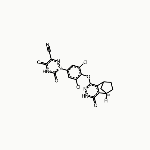 N#Cc1nn(-c2cc(Cl)c(Oc3n[nH]c(=O)c4c3C3CC[C@H]4C3)c(Cl)c2)c(=O)[nH]c1=O